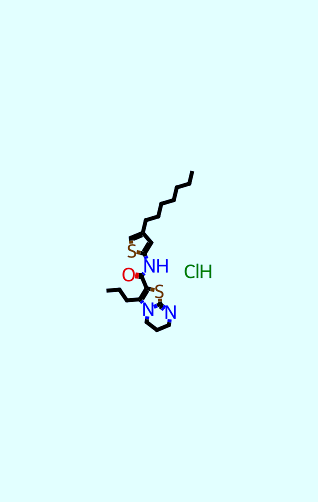 CCCCCCCc1csc(NC(=O)C2=C(CCC)N3CCCN=C3S2)c1.Cl